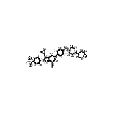 CS(=O)(=O)c1ccc(-c2nc3c(F)cc(-c4ccc(CN5CCN(C6CCOCC6)CC5)cc4)cc3n2C2CC2)cc1